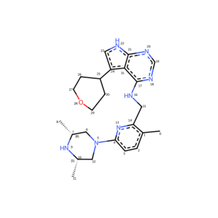 Cc1ccc(N2C[C@@H](C)N[C@@H](C)C2)nc1CNc1ncnc2[nH]cc(C3CCOCC3)c12